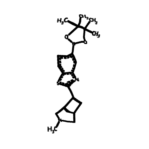 CN1CC2CC(c3nc4cc(B5OC(C)(C)C(C)(C)O5)ccc4s3)C2C1